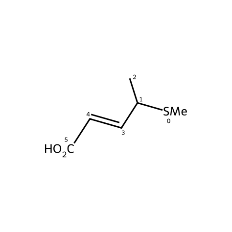 CSC(C)C=CC(=O)O